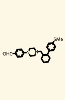 CSc1ccc(C2=C(CN3CCN(c4ccc([C]=O)cc4)CC3)CCCC2)cc1